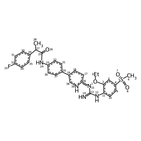 CCOc1cc(S(C)(=O)=O)ccc1NC(=N)/N=c1/ccc(-c2ccc(NC(=O)C(C)c3ccc(F)cc3)cc2)c[nH]1